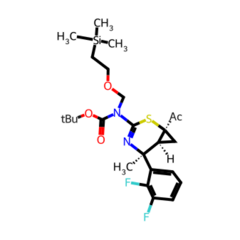 CC(=O)[C@]12C[C@H]1[C@@](C)(c1cccc(F)c1F)N=C(N(COCC[Si](C)(C)C)C(=O)OC(C)(C)C)S2